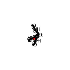 C=C(C)C(=O)OCCNC(=O)OCCOCC(CC)(COCCOC(=O)NCCOC(=O)C(=C)C)COCCOC(=O)NCCOC(=O)C(=C)C